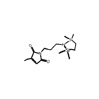 CC1=CC(=O)N(CCCN2[Si](C)(C)CC[Si]2(C)C)C1=O